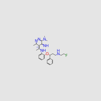 CC1=NN=C(N(C)C)C(=N)/C1=C(/C)Nc1ccccc1OC(CCNCCF)c1ccccc1